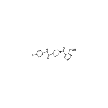 O=C(Nc1ccc(F)cc1)N1CCN(C(=O)c2ccccc2CO)CC1